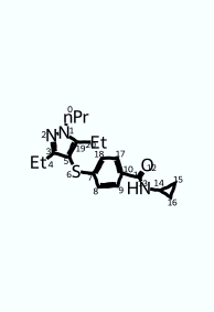 CCCn1nc(CC)c(Sc2ccc(C(=O)NC3CC3)cc2)c1CC